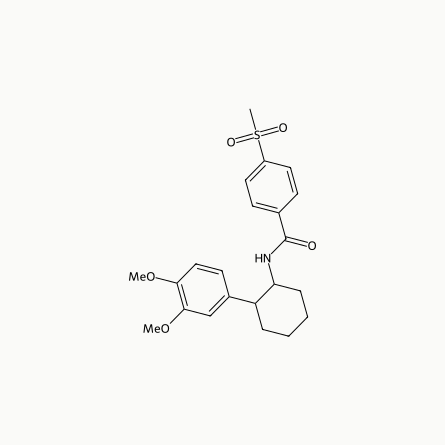 COc1ccc(C2CCCCC2NC(=O)c2ccc(S(C)(=O)=O)cc2)cc1OC